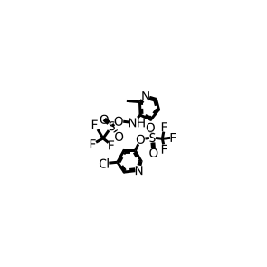 Cc1ncccc1NOS(=O)(=O)C(F)(F)F.O=S(=O)(Oc1cncc(Cl)c1)C(F)(F)F